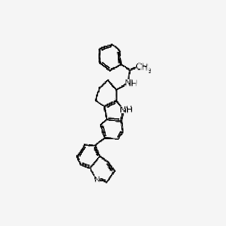 CC(NC1CCCc2c1[nH]c1ccc(-c3cccc4ncccc34)cc21)c1ccccc1